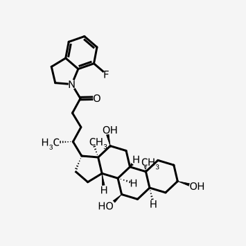 C[C@H](CCC(=O)N1CCc2cccc(F)c21)[C@H]1CC[C@H]2[C@@H]3[C@H](O)C[C@@H]4C[C@H](O)CC[C@]4(C)[C@H]3C[C@H](O)[C@]12C